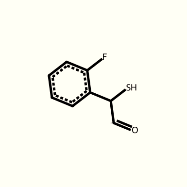 O=[C]C(S)c1ccccc1F